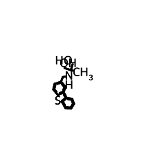 CC(CO)(CO)NCc1ccc2sc3ccccc3c2c1